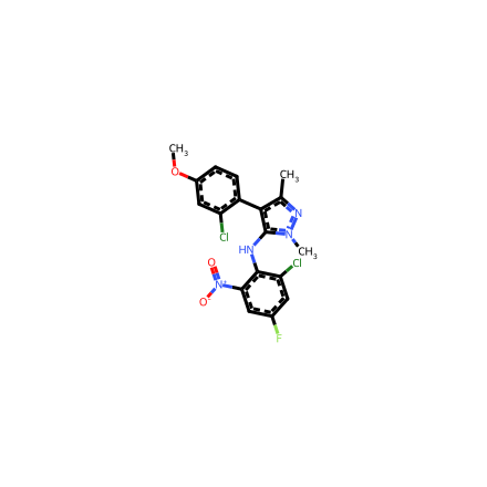 COc1ccc(-c2c(C)nn(C)c2Nc2c(Cl)cc(F)cc2[N+](=O)[O-])c(Cl)c1